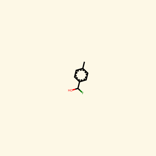 Cc1ccc(C(O)F)cc1